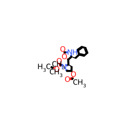 CC(=O)O[C@H]1C[C@H]([C@H]2OC(=O)N[C@H]2Cc2ccccc2)N(C(=O)OC(C)(C)C)C1